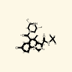 Cc1c(C(=O)N2C[C@@H](C)N[C@@H](C)C2)c2cc(Cl)ccc2n2cnc(C(=O)OC(C)(C)C)c12